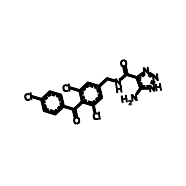 Nc1[nH]nnc1C(=O)NCc1cc(Cl)c(C(=O)c2ccc(Cl)cc2)c(Cl)c1